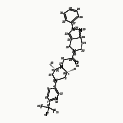 C[C@@H]1CN(c2ccc(C(F)(F)F)nc2)C[C@H](C)N1CC(=O)N1CCc2nn(-c3ccccc3)cc2C1